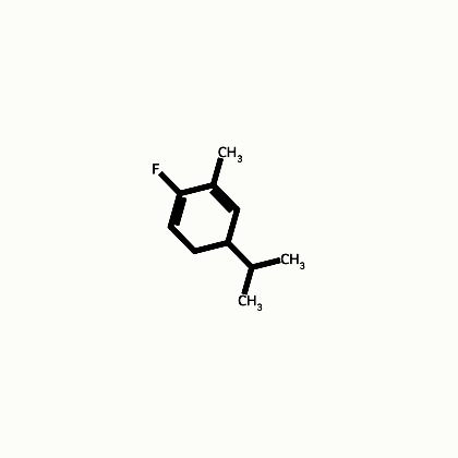 CC1=CC(C(C)C)CC=C1F